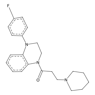 O=C(CCN1CCCCC1)N1CCN(c2ccc(F)cc2)c2ccccc21